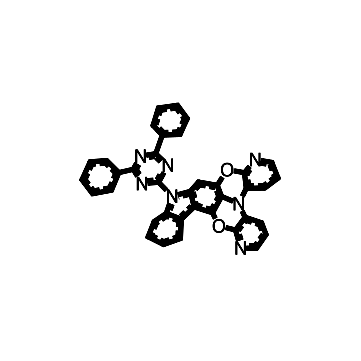 c1ccc(-c2nc(-c3ccccc3)nc(-n3c4ccccc4c4c5c6c(cc43)Oc3ncccc3N6c3cccnc3O5)n2)cc1